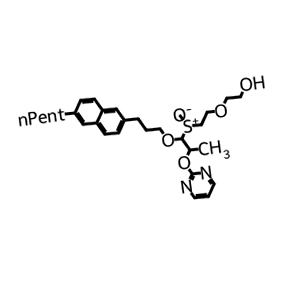 CCCCCc1ccc2cc(CCCOC(C(C)Oc3ncccn3)[S+]([O-])CCOCCO)ccc2c1